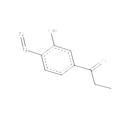 CCC(=O)c1ccc(N=[N])c(O)c1